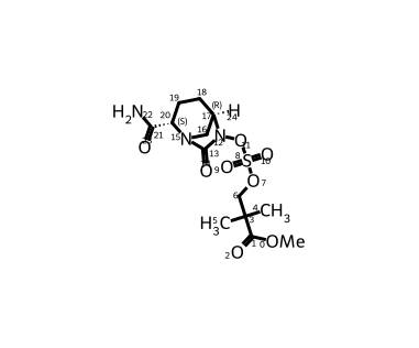 COC(=O)C(C)(C)COS(=O)(=O)ON1C(=O)N2C[C@H]1CC[C@H]2C(N)=O